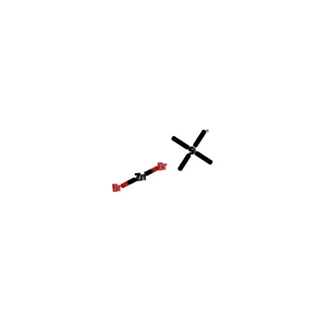 [Br][Zn][Br].[CH2][Si](C)(C)C